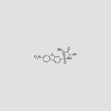 CC(C)C(NS(=O)(=O)c1ccc2c(c1)sc1cc([N+](=O)[O-])ccc12)C(=O)OC(C)(C)C